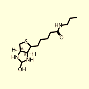 CCCNC(=O)CCCCC1SC[C@@H]2NC(O)N[C@H]12